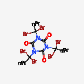 CCCC(Br)(Br)n1c(=O)n(C(Br)(Br)CCC)c(=O)n(C(Br)(Br)CCC)c1=O